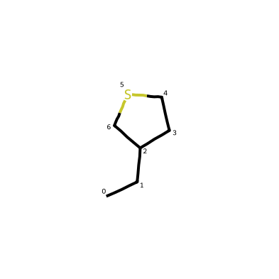 CCC1CCSC1